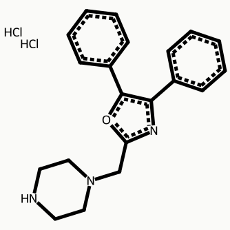 Cl.Cl.c1ccc(-c2nc(CN3CCNCC3)oc2-c2ccccc2)cc1